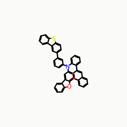 c1cc(-c2ccc3sc4ccccc4c3c2)cc(N(c2ccc3oc4ccccc4c3c2)c2ccccc2-c2ccc3ccccc3c2)c1